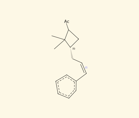 CC(=O)C1C[C@H](C/C=C\c2ccccc2)C1(C)C